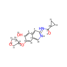 O=C(Nc1cc2ccc(O[C@H]3COC[C@@H]3O)cc2cn1)C1CC1